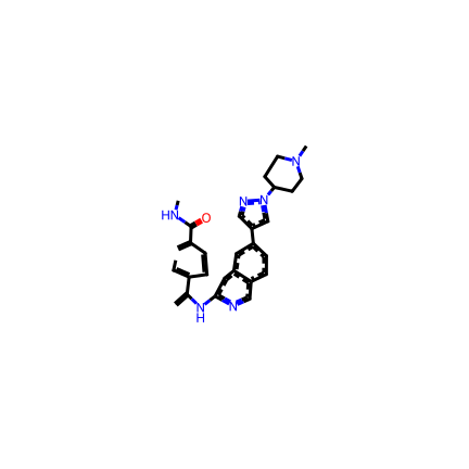 C=C(/C=C\C(=C/C)C(=C)Nc1cc2cc(-c3cnn(C4CCN(C)CC4)c3)ccc2cn1)C(=O)NC